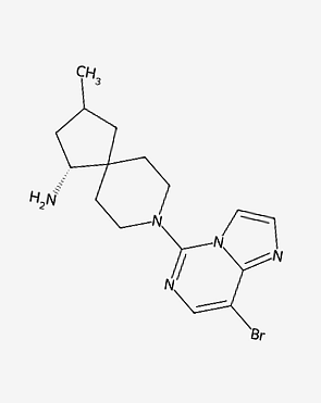 CC1C[C@@H](N)C2(CCN(c3ncc(Br)c4nccn34)CC2)C1